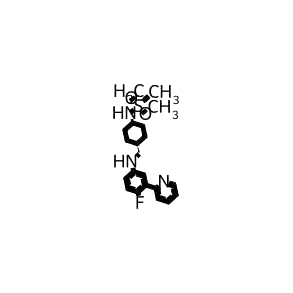 CC(C)(C)S(=O)(=O)N[C@H]1CC[C@H](CNc2ccc(F)c(-c3ccccn3)c2)CC1